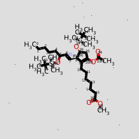 CCCCCC(/C=C/[C@@H]1C(CCCCCCC(=O)OC)=C(OC(C)=O)C[C@H]1O[Si](C)(C)C(C)(C)C)O[Si](C)(C)C(C)(C)C